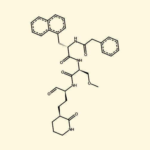 COC[C@H](NC(=O)[C@H](Cc1cccc2ccccc12)NC(=O)Cc1ccccc1)C(=O)N[C@H](C=O)CC[C@@H]1CCCNC1=O